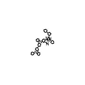 N#Cc1cc(-n2c3ccccc3c3cc(-c4ccc5c(c4)c4ccccc4n5-c4ccccc4)ccc32)ccc1-c1nc(-c2ccccc2)nc(-c2cccc(-c3ccccc3)c2)n1